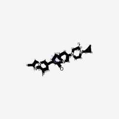 Cc1cn2cc(C3=C\C(=O)N4C=C(N5CCN(C6CC6)[C@@H](C)C5)C=C\C4=C/C=C/3)cc(F)c2n1